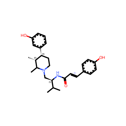 CC(C)[C@@H](CN1CC[C@@H](c2cccc(O)c2)[C@@H](C)C1C)NC(=O)/C=C/c1ccc(O)cc1